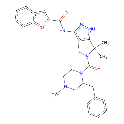 CN1CCN(C(=O)N2Cc3c(NC(=O)c4cc5ccccc5o4)n[nH]c3C2(C)C)C(Cc2ccccc2)C1